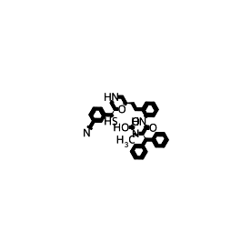 CN(C(=O)O)[C@H](C(=O)Nc1ccccc1CC[C@@H]1CNC[C@@H](C(S)c2cccc(C#N)c2)O1)C(c1ccccc1)c1ccccc1